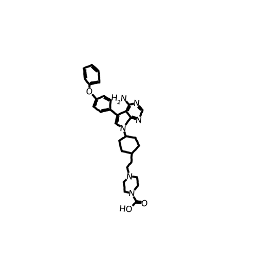 Nc1ncnc2c1c(-c1ccc(Oc3ccccc3)cc1)cn2C1CCC(CCN2CCN(C(=O)O)CC2)CC1